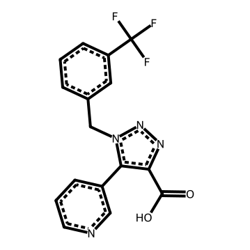 O=C(O)c1nnn(Cc2cccc(C(F)(F)F)c2)c1-c1cccnc1